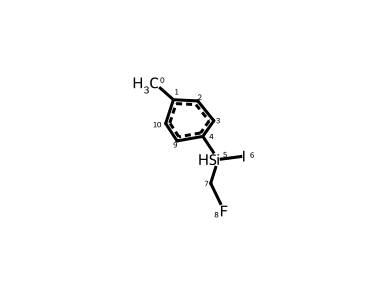 Cc1ccc([SiH](I)CF)cc1